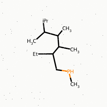 CCC(CPC)C(C)C(C)C(C)C(C)C